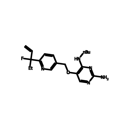 C=CC(F)(CC)c1ccc(COc2cnc(N)nc2NCCCC)cn1